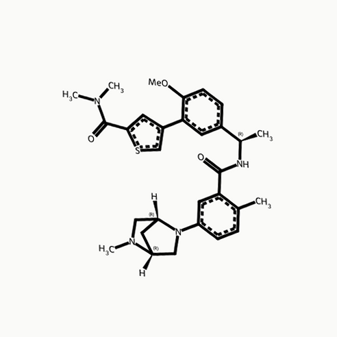 COc1ccc([C@@H](C)NC(=O)c2cc(N3C[C@H]4C[C@@H]3CN4C)ccc2C)cc1-c1csc(C(=O)N(C)C)c1